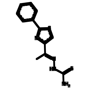 CC(=NNC(N)=S)c1csc(-c2ccccc2)n1